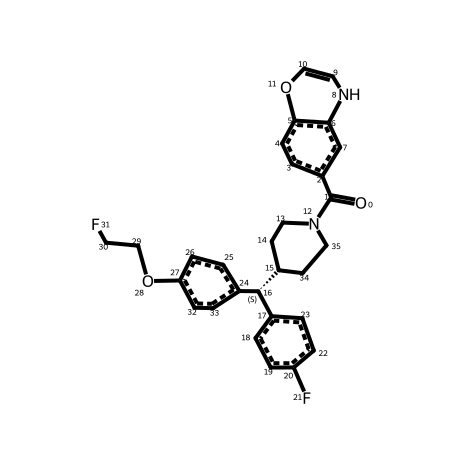 O=C(c1ccc2c(c1)NC=CO2)N1CCC([C@H](c2ccc(F)cc2)c2ccc(OCCF)cc2)CC1